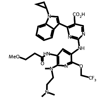 COCCC(=O)Nc1cc(Nc2ncc(C(=O)O)c(-c3cn(C4CC4)c4ccccc34)n2)c(OCC(F)(F)F)nc1N(C)CCN(C)C